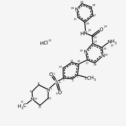 Cc1cc(S(=O)(=O)N2CCN(C)CC2)ccc1-c1cnc(N)c(C(=O)Nc2cccnc2)n1.Cl